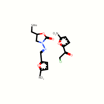 CSCC1CN(/N=C/c2ccc([N+](=O)[O-])o2)C(=O)O1.O=C(CCl)c1ccc([N+](=O)[O-])o1